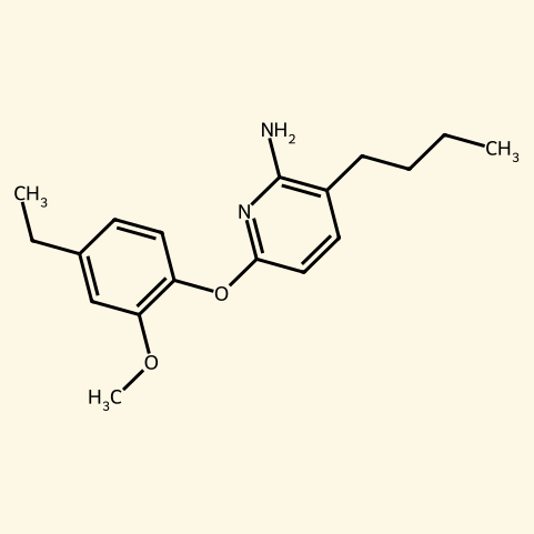 CCCCc1ccc(Oc2ccc(CC)cc2OC)nc1N